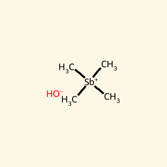 [CH3][Sb+]([CH3])([CH3])[CH3].[OH-]